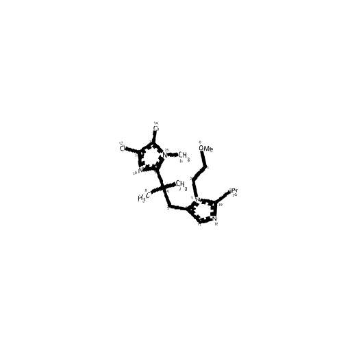 COCCn1c(CC(C)(C)c2nc(Cl)c(Cl)n2C)cnc1C(C)C